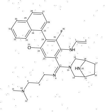 C=CNc1c(/C(=N\CCCN(C)C)N2CC3CCC(C2)N3)cc(Cl)c(-c2cccc3ccccc23)c1F